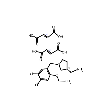 CCOc1cc(Cl)c(Cl)cc1CN1CC[C@@H](CN)C1.O=C(O)/C=C/C(=O)O.O=C(O)/C=C/C(=O)O